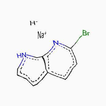 Brc1ccc2cc[nH]c2n1.[H-].[Na+]